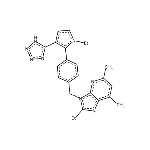 CCc1nc2c(C)cc(C)nc2n1Cc1ccc(-c2c(-c3nnn[nH]3)ccn2CC)cc1